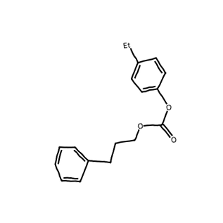 CCc1ccc(OC(=O)OCCCc2ccccc2)cc1